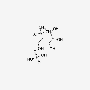 C[N+](C)(C)CCO.O=P([O-])(O)O.OCC(O)CO